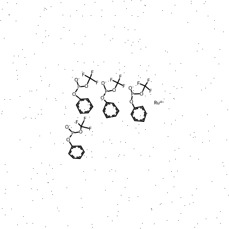 [O-]P(Oc1ccccc1)OC(F)(F)F.[O-]P(Oc1ccccc1)OC(F)(F)F.[O-]P(Oc1ccccc1)OC(F)(F)F.[O-]P(Oc1ccccc1)OC(F)(F)F.[Ru+4]